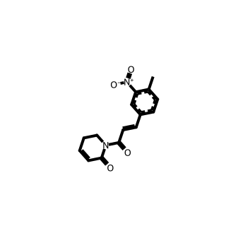 Cc1ccc(/C=C/C(=O)N2CCC=CC2=O)cc1[N+](=O)[O-]